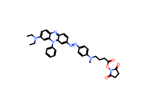 CCN(CC)c1ccc2nc3ccc(/N=N/c4ccc(N(C)CCCC(=O)ON5C(=O)CCC5=O)cc4)cc3[n+](-c3ccccc3)c2c1